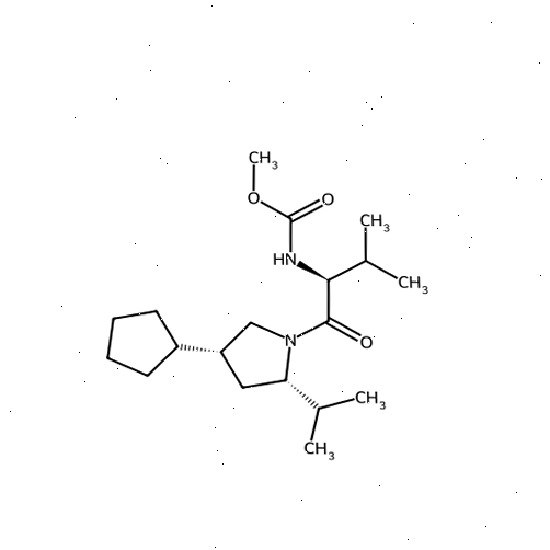 COC(=O)N[C@H](C(=O)N1C[C@@H](C2CCCC2)C[C@H]1C(C)C)C(C)C